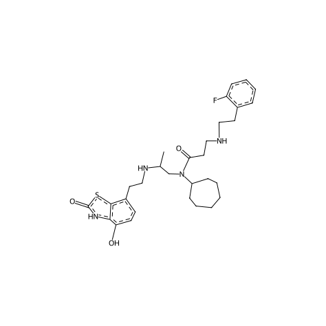 CC(CN(C(=O)CCNCCc1ccccc1F)C1CCCCCC1)NCCc1ccc(O)c2[nH]c(=O)sc12